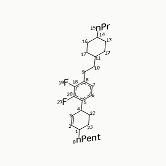 CCCCCC1C=CC(c2ccc(CCC3CCC(CCC)CC3)c(F)c2F)CC1